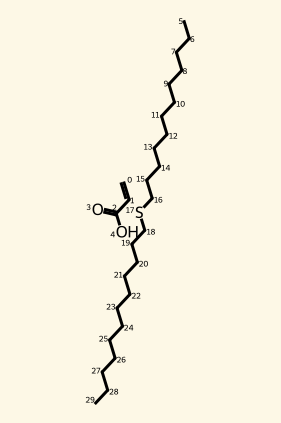 C=CC(=O)O.CCCCCCCCCCCCSCCCCCCCCCCCC